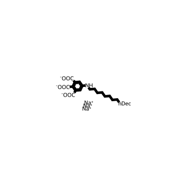 CCCCCCCCCCCCCCCCCCNc1cc(C(=O)[O-])c(C(=O)[O-])c(C(=O)[O-])c1.[Na+].[Na+].[Na+]